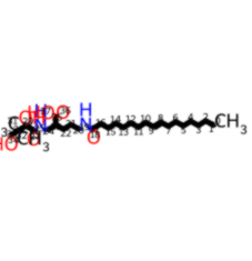 CCCCCCCCC=CCCCCCCCC(=O)NCCCC(CNC(=O)C(O)C(C)(C)CO)C(=O)O